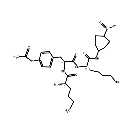 CCCC[C@@H](N)C(=O)N[C@@H](Cc1ccc(OC(C)=O)cc1)C(=O)N[C@@H](CCCCN)C(=O)NC1CCC([N+](=O)[O-])CC1